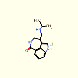 CC(C)NCC1CNC(=O)c2cccc3[nH]cc1c23.Cl